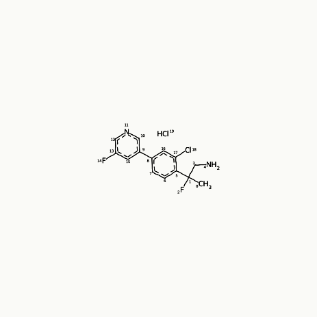 CC(F)(CN)c1ccc(-c2cncc(F)c2)cc1Cl.Cl